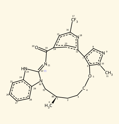 C[C@@H]1CCCOc2c(cnn2C)-c2cc(cc(C(F)(F)F)n2)C(=O)/N=C2\Nc3ccccc3N2C1